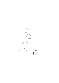 N=C(N)c1cccc(-c2ccc3c(c2)c(COc2ccccc2CC(=O)O)nn3C2CC2)c1